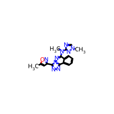 Cc1cc(-c2nnc3c4ccccc4c(N(C)c4ncn(C)n4)nn23)no1